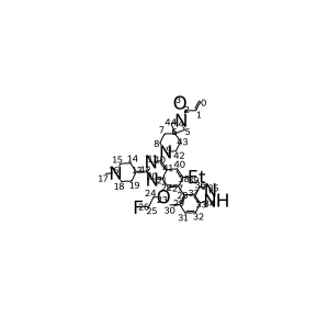 C=CC(=O)N1CC2(CCN(c3nc(C4CCN(C)CC4)nc4c(OCCF)c(-c5c(C)ccc6[nH]ncc56)c(CC)cc34)CC2)C1